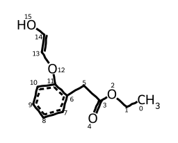 CCOC(=O)Cc1ccccc1OC=CO